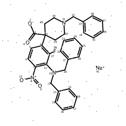 O=C([O-])C1(c2ccc([N+](=O)[O-])c(N(Cc3ccccc3)Cc3ccccc3)c2F)CCN(Cc2ccccc2)CC1.[Na+]